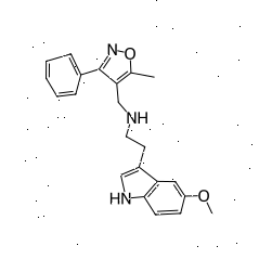 COc1ccc2[nH]cc(CCNCc3c(-c4ccccc4)noc3C)c2c1